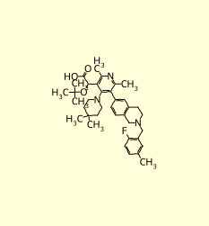 Cc1ccc(F)c(CN2CCc3cc(-c4c(C)nc(C)c(C(OC(C)(C)C)C(=O)O)c4N4CCC(C)(C)CC4)ccc3C2)c1